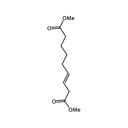 COC(=O)CC=CCCCCC(=O)OC